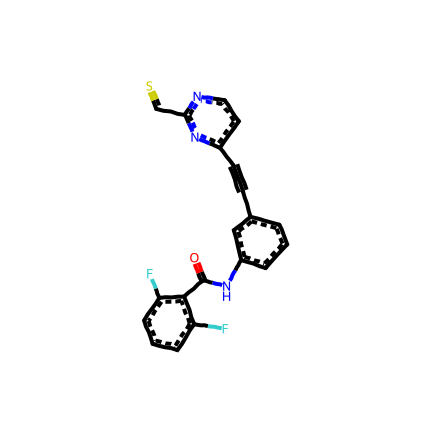 O=C(Nc1cccc(C#Cc2ccnc(C=S)n2)c1)c1c(F)cccc1F